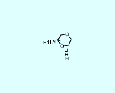 C1COCCO1.[Al+3].[H-].[H-].[H-].[H-].[Li+]